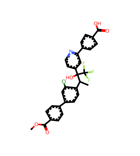 COC(=O)c1ccc(-c2ccc(C(C)C(O)(c3ccnc(-c4ccc(C(=O)O)cc4)c3)C(F)(F)F)c(Cl)c2)cc1